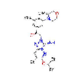 CCc1cc2nn(CC(=O)c3cc(N4CCOCC4)c(OC)c(C(C)(C)C)c3)c(=N)n2nc1OC(CC)CC